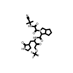 CC(C)(C#N)NC(=O)C(=O)N1CC2CCCC2C1C(=O)NC(CC1CCNC1=O)C(=O)COC(F)(F)F